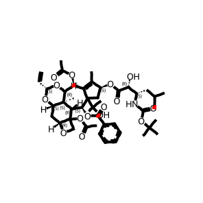 C=C[C@H]1O[C@H]2C[C@H]3OCC3(OC(C)=O)[C@H]3[C@H](OC(=O)c4ccccc4)C4(C(C)(C)O)C[C@H](OC(=O)[C@H](O)[C@H](CC(C)C)NC(=O)OC(C)(C)C)C(C)=C4[C@H](OC(C)=O)[C@H](O1)[C@]23C